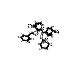 O=c1ccoc(C(OC2CCCCO2)c2ccc(Br)cc2)c1OCc1ccccc1